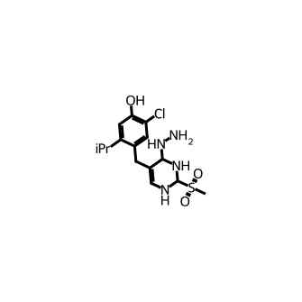 CC(C)c1cc(O)c(Cl)cc1CC1=CNC(S(C)(=O)=O)NC1NN